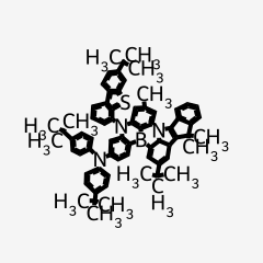 Cc1cc2c3c(c1)N1C4=C(C5C=C(C(C)(C)C)C=C(B3c3ccc(N(c6ccc(C(C)(C)C)cc6)c6ccc(C(C)(C)C)cc6)cc3N2c2cccc3c2sc2cc(C(C)(C)C)ccc23)C51)C(C)(C)c1ccccc14